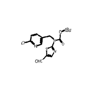 CC(C)(C)OC(=O)N(Cc1ccc(Cl)nc1)c1ncc(C=O)s1